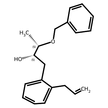 C=CCc1ccccc1C[C@H](O)[C@H](C)OCc1ccccc1